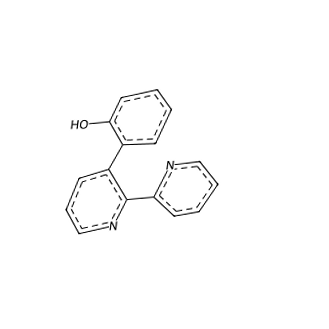 Oc1ccccc1-c1cccnc1-c1ccccn1